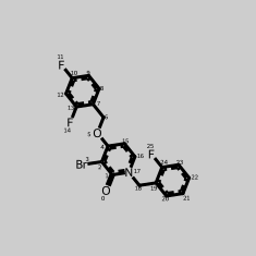 O=c1c(Br)c(OCc2ccc(F)cc2F)ccn1Cc1ccccc1F